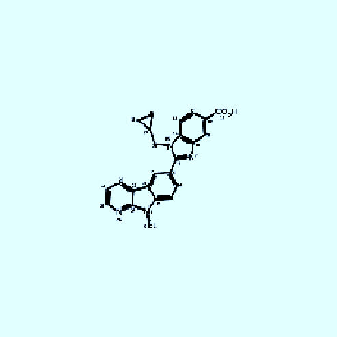 CCn1c2ccc(-c3nc4cc(C(=O)O)ccc4n3CC3CC3)cc2c2cccnc21